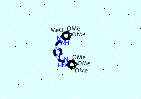 COc1cc2[nH]c(CN3CCN(Cc4nc5c(OC)c(OC)c(OC)cc5[nH]4)CC3)nc2c(OC)c1OC